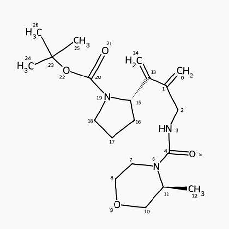 C=C(CNC(=O)N1CCOC[C@@H]1C)C(=C)[C@@H]1CCCN1C(=O)OC(C)(C)C